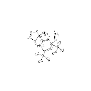 C=CC1(C(Cl)(Cl)Cl)N=C(C(Cl)(Cl)Cl)NC(C2(C)CC=CO2)=N1